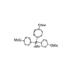 CCCC[B-](c1ccc(OC)cc1)(c1ccc(OC)cc1)c1ccc(OC)cc1